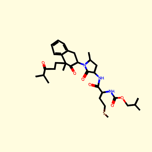 CSCCC(NC(=O)OCC(C)C)C(=O)NC1CC(C)N(C2Cc3ccccc3C(C)(CCC(=O)C(C)C)C2=O)C1=O